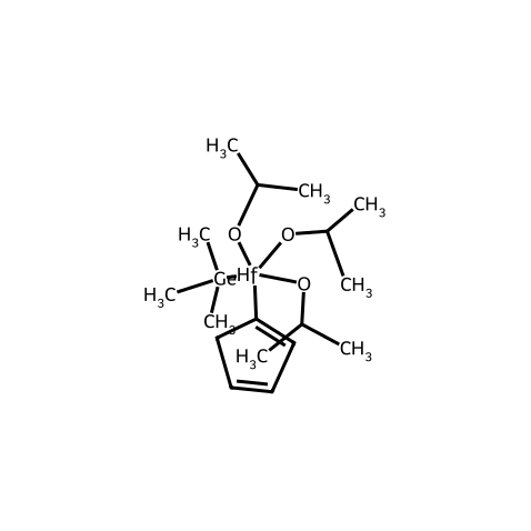 CC(C)[O][Hf]([O]C(C)C)([O]C(C)C)([C]1=CC=CC1)[Ge]([CH3])([CH3])[CH3]